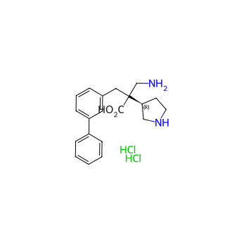 Cl.Cl.NCC(Cc1cccc(-c2ccccc2)c1)(C(=O)O)[C@H]1CCNC1